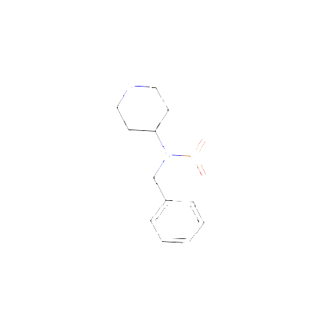 O=[SH](=O)N(Cc1ccccc1)C1CCNCC1